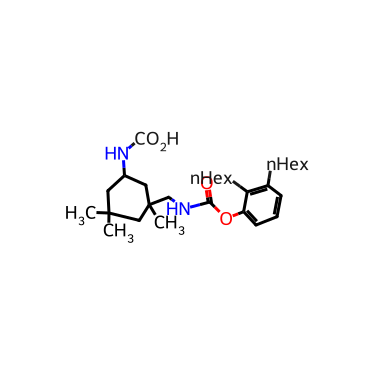 CCCCCCc1cccc(OC(=O)NCC2(C)CC(NC(=O)O)CC(C)(C)C2)c1CCCCCC